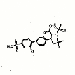 CC(C)(F)C[C@@H](C(=O)O)N(CC(F)(F)F)c1ccc(-c2ccc(S(C)(=O)=O)cc2Cl)cc1